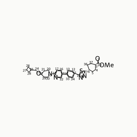 COC(=O)[C@H]1CC[C@H](c2nnc(-c3ccc(-c4ccc(N5CCC(OCC6CCC6)CC5)nc4)cc3)s2)CC1